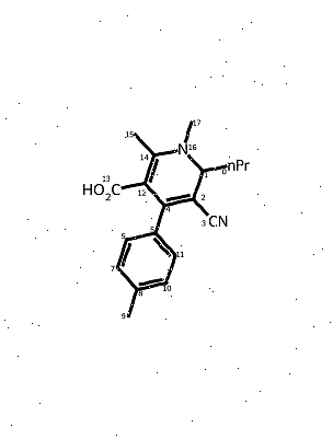 CCCC1C(C#N)=C(c2ccc(C)cc2)C(C(=O)O)=C(C)N1C